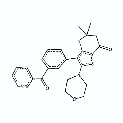 CC1(C)CC(=O)c2sc(N3CCOCC3)c(-c3cccc(C(=O)c4ccccc4)c3)c2C1